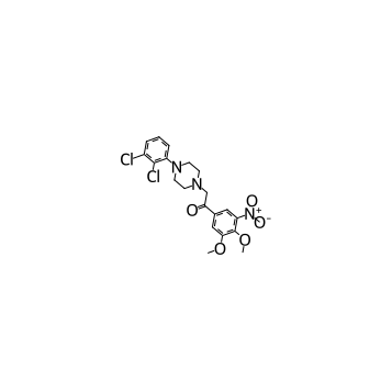 COc1cc(C(=O)CN2CCN(c3cccc(Cl)c3Cl)CC2)cc([N+](=O)[O-])c1OC